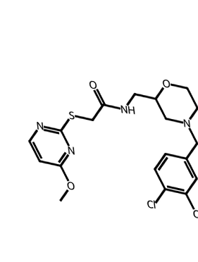 COc1ccnc(SCC(=O)NCC2CN(Cc3ccc(Cl)c(Cl)c3)CCO2)n1